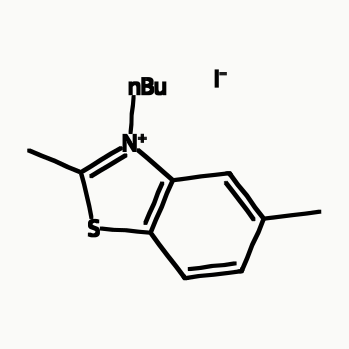 CCCC[n+]1c(C)sc2ccc(C)cc21.[I-]